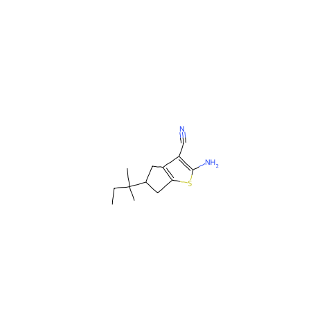 CCC(C)(C)C1Cc2sc(N)c(C#N)c2C1